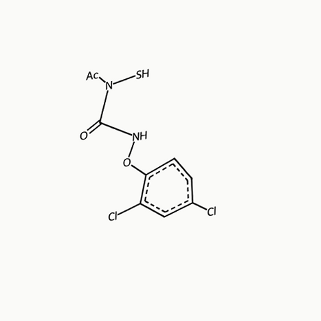 CC(=O)N(S)C(=O)NOc1ccc(Cl)cc1Cl